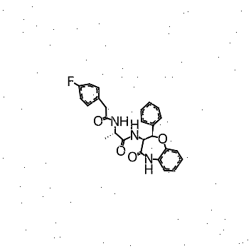 C[C@H](NC(=O)Cc1ccc(F)cc1)C(=O)N[C@@H]1C(=O)Nc2ccccc2O[C@@H]1c1ccccc1